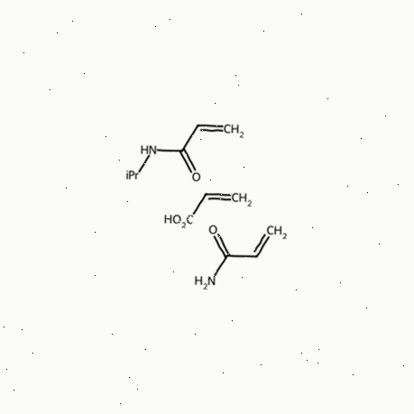 C=CC(=O)NC(C)C.C=CC(=O)O.C=CC(N)=O